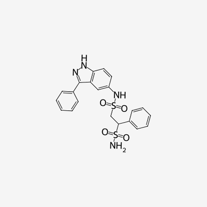 NS(=O)(=O)C(CS(=O)(=O)Nc1ccc2[nH]nc(-c3ccccc3)c2c1)c1ccccc1